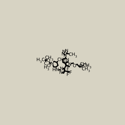 Cc1nnnn1-c1ccc2c(-c3nc(N[C@H]4CC(C)CN(C(=O)OC(C)(C)C)C4)ncc3C(F)(F)F)cn(COCC[Si](C)(C)C)c2n1